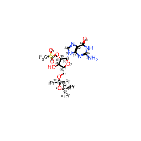 CC(C)[SiH](O[Si](OC[C@H]1O[C@@H](n2cnc3c(=O)[nH]c(N)nc32)[C@@H](OS(=O)(=O)C(F)(F)F)C1O)(C(C)C)C(C)C)C(C)C